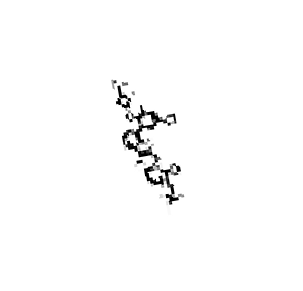 Cc1cc(Cl)cc(-c2ccnc3cc(Cn4c(=O)ccn(CC(F)(F)F)c4=O)sc23)c1O[C@H]1C[C@H](N)C1